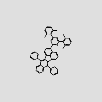 Cc1cccc(C)c1-c1nc(-c2c(C)cccc2C)nc(-c2ccc3c4c(cccc24)-c2c-3c(-c3ccccc3)c3ccccc3c2C2=CC=CCC2)n1